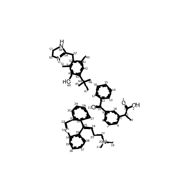 CC(C(=O)O)c1cccc(C(=O)c2ccccc2)c1.CN(C)CCC=C1c2ccccc2CCc2ccccc21.Cc1cc(C(C)(C)C)c(O)c(C)c1CC1=NCCN1